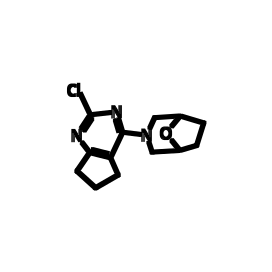 Clc1nc2c(c(N3CC4CCC(C3)O4)n1)CCC2